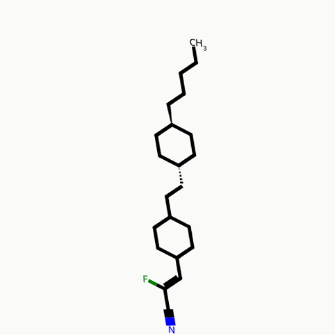 CCCCC[C@H]1CC[C@H](CCC2CCC(C=C(F)C#N)CC2)CC1